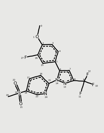 COc1ccc(-c2cc(C(F)(F)F)nn2-c2ccc(S(C)(=O)=O)cn2)cc1F